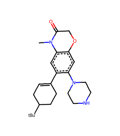 CN1C(=O)COc2cc(N3CCNCC3)c(C3=CCC(C(C)(C)C)CC3)cc21